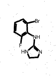 Fc1cccc(Br)c1NC1=NCCN1